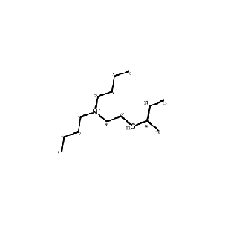 CCCCN(CCCC)CCSC(C)CC